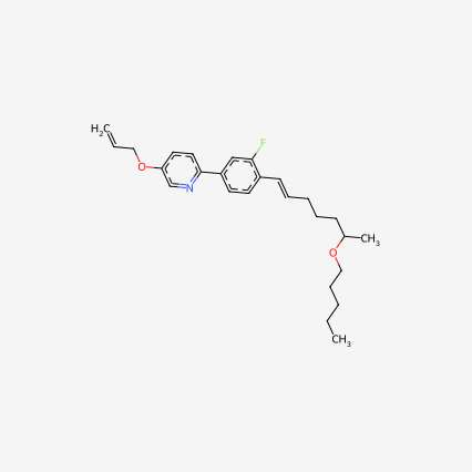 C=CCOc1ccc(-c2ccc(C=CCCCC(C)OCCCCC)c(F)c2)nc1